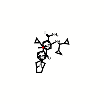 Cc1cc(C(N)=O)c(NC(C2CC2)C2CC2)cc1C(=O)NC1CC2CCC(C1)N2c1ccc(C(=O)C2CC2)cc1